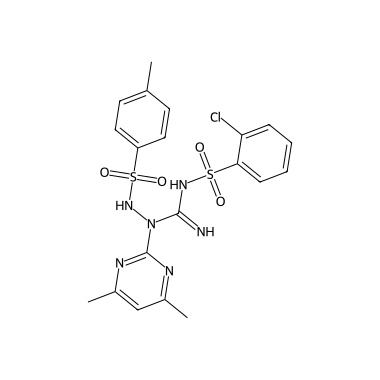 Cc1ccc(S(=O)(=O)NN(C(=N)NS(=O)(=O)c2ccccc2Cl)c2nc(C)cc(C)n2)cc1